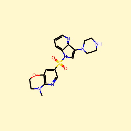 CN1CCOc2cc(S(=O)(=O)n3cc(N4CCNCC4)c4ncccc43)cnc21